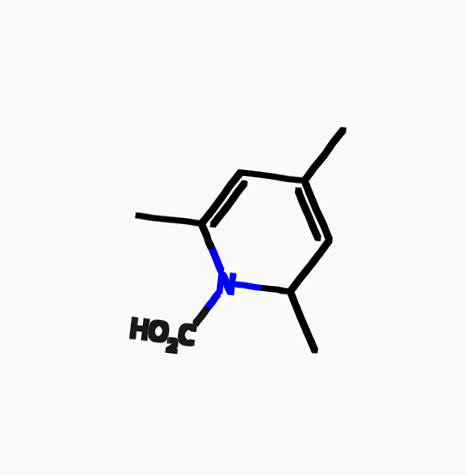 CC1=CC(C)N(C(=O)O)C(C)=C1